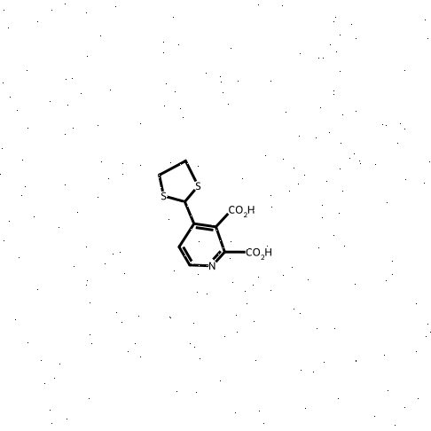 O=C(O)c1nccc(C2SCCS2)c1C(=O)O